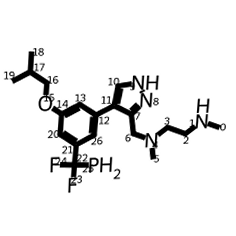 CNCCN(C)Cc1n[nH]cc1-c1cc(OCC(C)C)cc(C(F)(F)P)c1